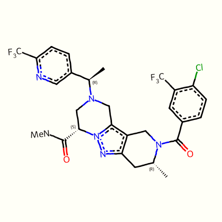 CNC(=O)[C@@H]1CN([C@H](C)c2ccc(C(F)(F)F)nc2)Cc2c3c(nn21)C[C@@H](C)N(C(=O)c1ccc(Cl)c(C(F)(F)F)c1)C3